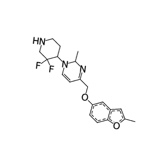 Cc1cc2cc(OCC3=NC(C)N(C4CCNCC4(F)F)C=C3)ccc2o1